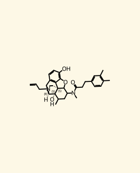 C=CCN1CC[C@]23c4c5ccc(O)c4OC2C(N(C)C(=O)CCc2ccc(C)c(C)c2)CC(C)[C@@]3(O)[C@H]1C5